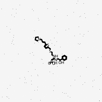 O=[N+]([O-])/C=C(/NCCSCc1ccc(/C=C/CN2CCCC2)s1)NCC(O)c1ccccc1